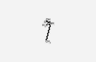 CCCCCCCCCCCc1[nH]cc(C(=O)O)[n+]1C